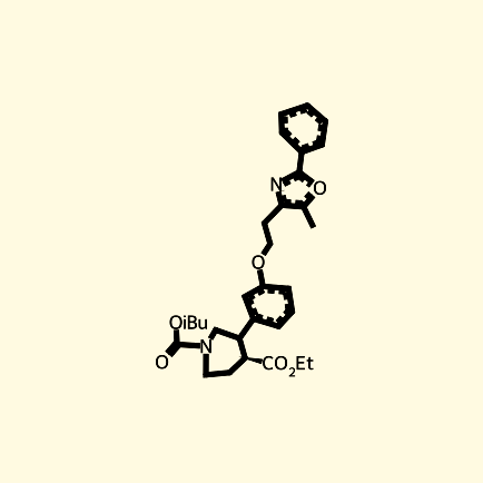 CCOC(=O)[C@H]1CCN(C(=O)OCC(C)C)CC1c1cccc(OCCc2nc(-c3ccccc3)oc2C)c1